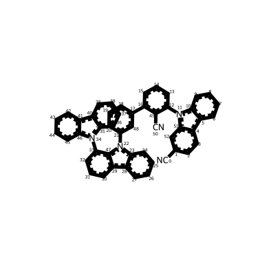 N#Cc1ccc2c3ccccc3n(-c3cccc(-c4cccc(-n5c6ccccc6c6cccc(-n7c8ccccc8c8ccccc87)c65)c4)c3C#N)c2c1